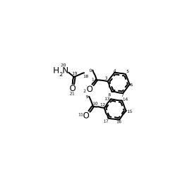 CC(=O)c1ccccc1.CC(=O)c1ccccc1.CC(N)=O